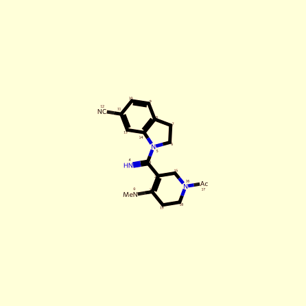 CNC1=C(C(=N)N2CCc3ccc(C#N)cc32)CN(C(C)=O)CC1